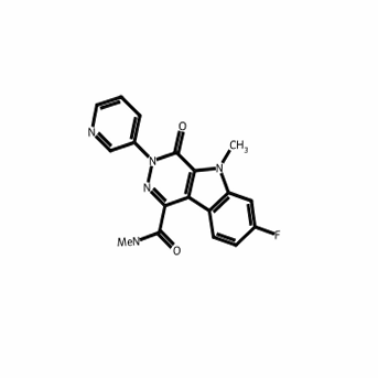 CNC(=O)c1nn(-c2cccnc2)c(=O)c2c1c1ccc(F)cc1n2C